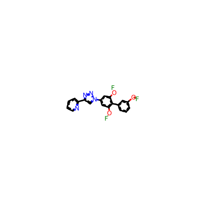 FOc1cccc(-c2c(OF)cc(-n3cc(-c4ccccn4)nn3)cc2OF)c1